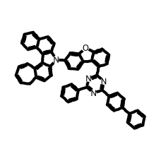 C1=CCc2ccc3c(c2C=C1)c1c2ccccc2ccc1n3-c1ccc2c(c1)oc1cccc(-c3nc(-c4ccccc4)nc(-c4ccc(-c5ccccc5)cc4)n3)c12